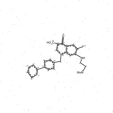 CNCCNc1cc2c(cc1F)c(=O)c(C(=O)O)cn2Cc1ccc(-c2ccccc2)cc1